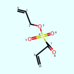 C=CCOS(=O)(=O)C(=O)C=C